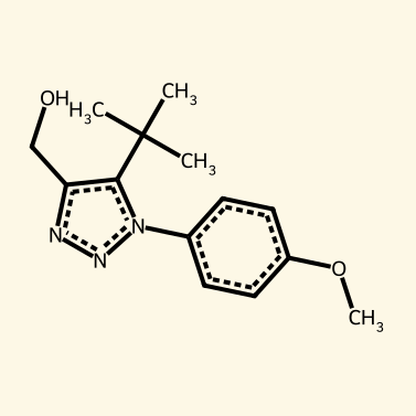 COc1ccc(-n2nnc(CO)c2C(C)(C)C)cc1